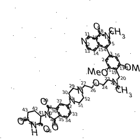 COc1cc(-c2cn(C)c(=O)c3cnccc23)cc(OC)c1CN(C)CCOCCN1CCN(c2ccc3c(c2)C(=O)N(C2CCC(=O)NC2=O)C3=O)CC1